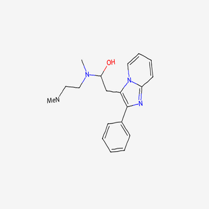 CNCCN(C)C(O)Cc1c(-c2ccccc2)nc2ccccn12